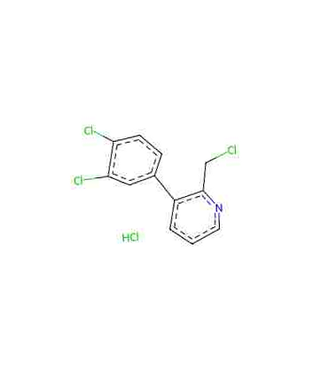 Cl.ClCc1ncccc1-c1ccc(Cl)c(Cl)c1